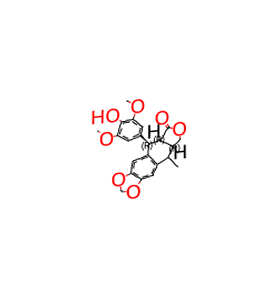 COc1cc([C@@H]2c3cc4c(cc3C(C)[C@H]3COC(=O)[C@H]23)OCO4)cc(OC)c1O